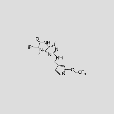 Cc1nc(NCc2ccnc(OCC(F)(F)F)c2)nc2c1NC(=O)C(C(C)C)N2C